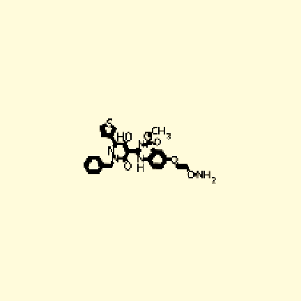 COP1(=O)N=C(c2c(O)c(-c3ccsc3)nn(Cc3ccccc3)c2=O)Nc2ccc(O/C=C/ON)cc21